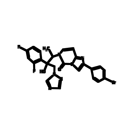 CC(n1ccc2nc(-c3ccc(Br)cc3)cn2c1=O)C(O)(Cn1cncn1)c1ccc(F)cc1F